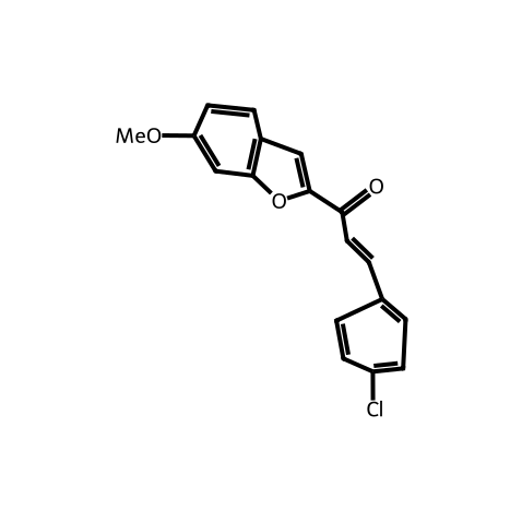 COc1ccc2cc(C(=O)C=Cc3ccc(Cl)cc3)oc2c1